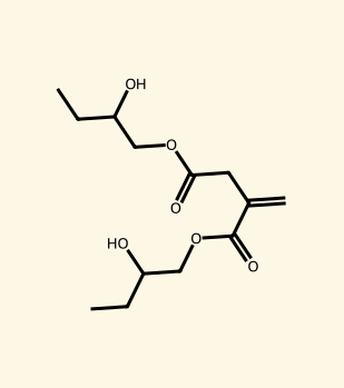 C=C(CC(=O)OCC(O)CC)C(=O)OCC(O)CC